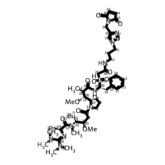 CC[C@H](C)[C@@H]([C@@H](CC(=O)N1CCC[C@H]1[C@H](OC)[C@@H](C)C(=O)N[C@@H](Cc1ccccc1)P(=O)(O)CC(=O)NCCCn1cc(CN2C(=O)C=CC2=O)nn1)OC)N(C)C(=O)[C@@H](N=C(N(C)C)N(C)C)C(C)C